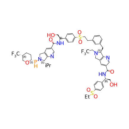 CCS(=O)(=O)c1ccc([C@H](CO)NC(=O)c2cnc3c(c2)CN(CC(F)(F)F)[C@H]3Cc2cccc(CCS(=O)(=O)c3ccc([C@H](CO)NC(=O)c4cnc5c(c4)CN(P[C@H]4CC[C@@H](C(F)(F)F)CO4)[C@H]5C(C)C)cc3)c2)cc1